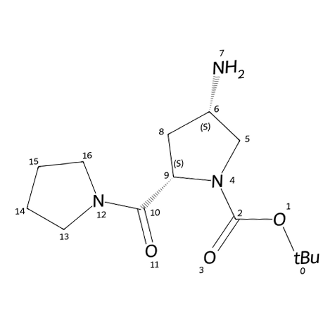 CC(C)(C)OC(=O)N1C[C@@H](N)C[C@H]1C(=O)N1CCCC1